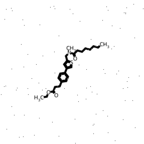 CCCCCCCC(=O)N(C)Cc1cc(-c2ccc(CCC(=O)OCC)cc2)cs1